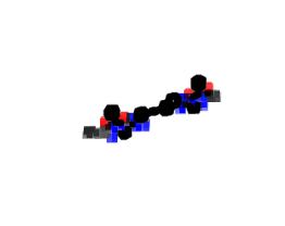 CCC(=O)N[C@H](C(=O)N1CCC[C@H]1c1nc2c([nH]1)CCc1cc(C#Cc3ccc4nc([C@@H]5CCCN5C(=O)[C@@H](NC(=O)OC)c5ccccc5)[nH]c4c3)ccc1-2)c1ccccc1